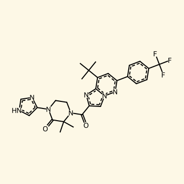 CC(C)(C)c1cc(-c2ccc(C(F)(F)F)cc2)nn2cc(C(=O)N3CCN(c4c[nH]cn4)C(=O)C3(C)C)nc12